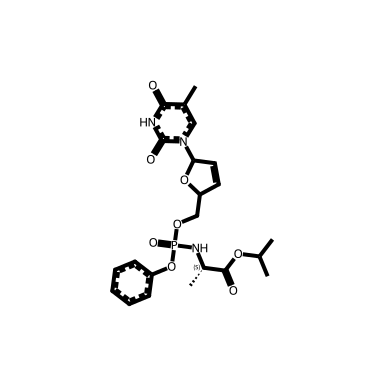 Cc1cn(C2C=CC(COP(=O)(N[C@@H](C)C(=O)OC(C)C)Oc3ccccc3)O2)c(=O)[nH]c1=O